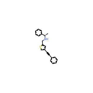 C[C@@H](NCc1cc(C#Cc2ccccc2)cs1)c1ccccc1